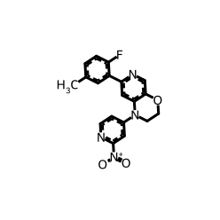 Cc1ccc(F)c(-c2cc3c(cn2)OCCN3c2ccnc([N+](=O)[O-])c2)c1